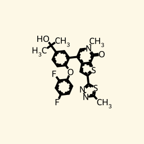 Cc1nnc(-c2cc3c(-c4cc(C(C)(C)O)ccc4Oc4ccc(F)cc4F)cn(C)c(=O)c3s2)s1